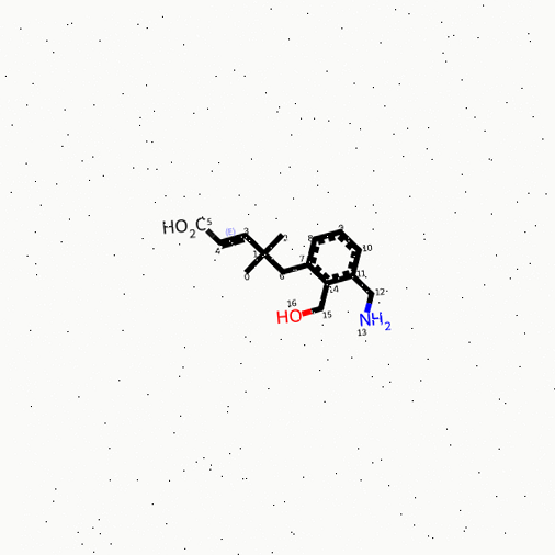 CC(C)(/C=C/C(=O)O)Cc1cccc(CN)c1CO